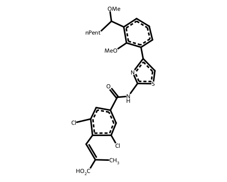 CCCCCC(OC)c1cccc(-c2csc(NC(=O)c3cc(Cl)c(/C=C(\C)C(=O)O)c(Cl)c3)n2)c1OC